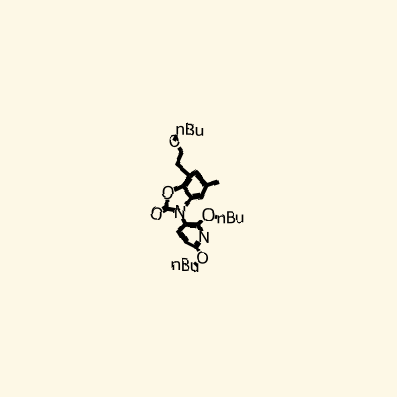 CCCCOCCc1cc(C)cc2c1oc(=O)n2-c1ccc(OCCCC)nc1OCCCC